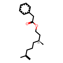 C=C(C)CCC[C@H](C)CCOC(=O)Cc1ccccc1